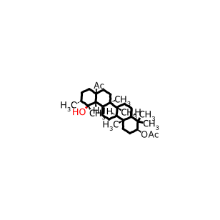 CC(=O)O[C@H]1CC[C@]2(C)[C@H]3CC=C4[C@H]5[C@](C(C)=O)(CC[C@@H](C)[C@@]5(C)O)CC[C@@]4(C)[C@]3(C)CC[C@H]2C1(C)C